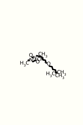 CCN1CC(=O)N(CC(C)(C)CCCCOCCCCC(C)(C)C)C1=O